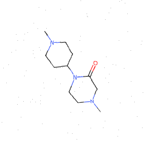 CN1CCC(N2CCN(C)CC2=O)CC1